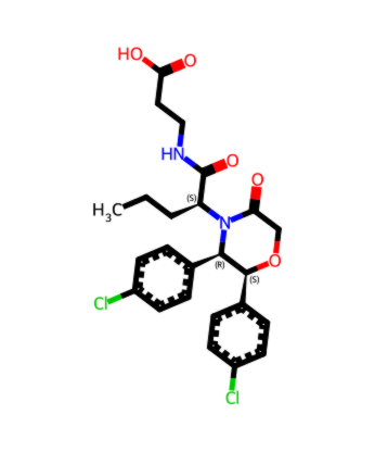 CCC[C@@H](C(=O)NCCC(=O)O)N1C(=O)CO[C@@H](c2ccc(Cl)cc2)[C@H]1c1ccc(Cl)cc1